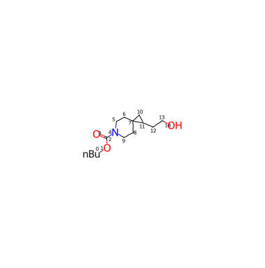 CCCCOC(=O)N1CCC2(CC1)CC2CCO